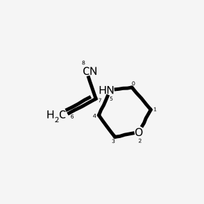 C1COCCN1.C=CC#N